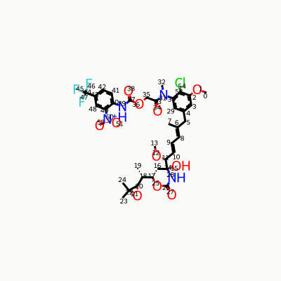 COc1cc(C/C(C)=C/C=C/[C@@H](OC)[C@@]2(O)C[C@@H]([C@@H](C)[C@@H]3OC3(C)C)OC(=O)N2)cc(N(C)C(=O)COC(=O)Nc2ccc(C(F)(F)F)cc2[N+](=O)[O-])c1Cl